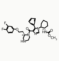 COC(=O)N[C@H]1CCCCC1n1cnc(C(=O)N2CCNC[C@H]2CCOc2ccc(F)c(F)c2)c1-c1ccccc1